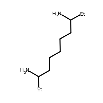 CCC(N)CCCCCC(N)CC